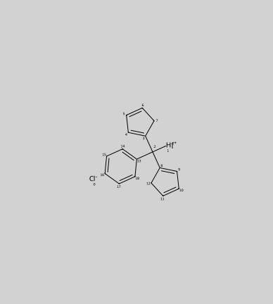 [Cl-].[Hf+][C](C1=CC=CC1)(C1=CC=CC1)c1ccccc1